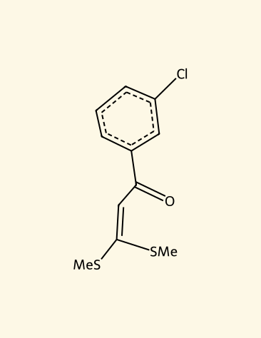 CSC(=CC(=O)c1cccc(Cl)c1)SC